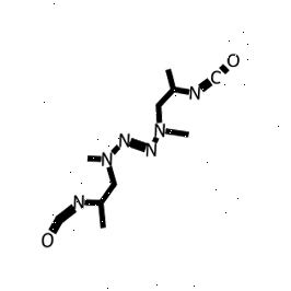 CC(CN(C)/N=N/N(C)CC(C)N=C=O)N=C=O